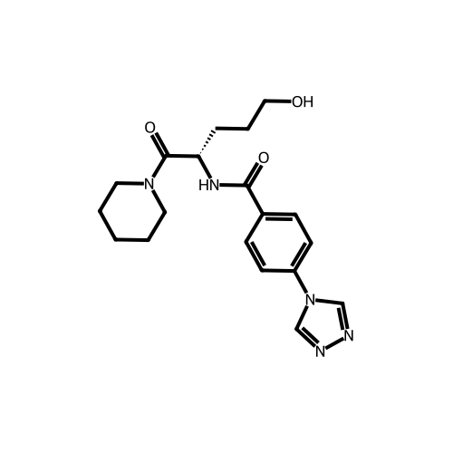 O=C(N[C@@H](CCCO)C(=O)N1CCCCC1)c1ccc(-n2cnnc2)cc1